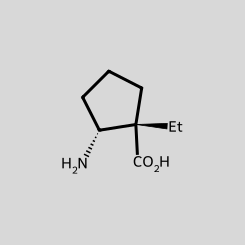 CC[C@]1(C(=O)O)CCC[C@H]1N